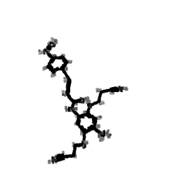 N#CCCSc1cc(NC(=O)/C=C/c2ccc(N=O)cc2)c(SCCC#N)cc1N